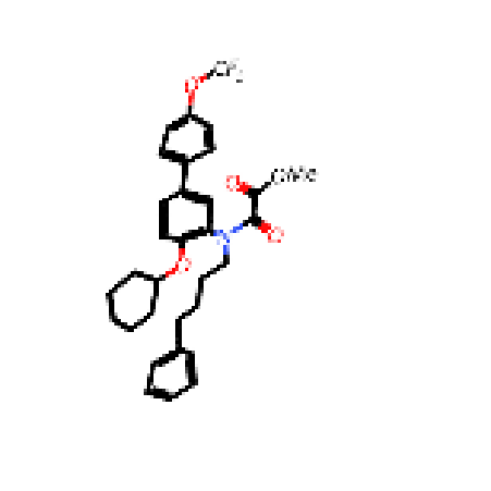 COC(=O)C(=O)N(CCCCc1ccccc1)c1cc(-c2ccc(OC(F)(F)F)cc2)ccc1OC1CCCCC1